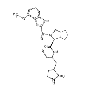 COc1cccc2[nH]c(C(=O)N3CC4CCCC4[C@H]3C(=O)NC(C=O)CC3CCNC3=O)cc12